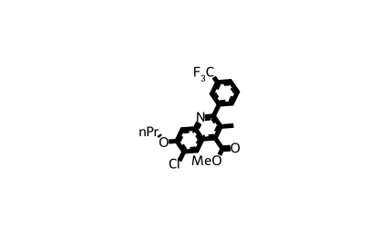 CCCOc1cc2nc(-c3cccc(C(F)(F)F)c3)c(C)c(C(=O)OC)c2cc1Cl